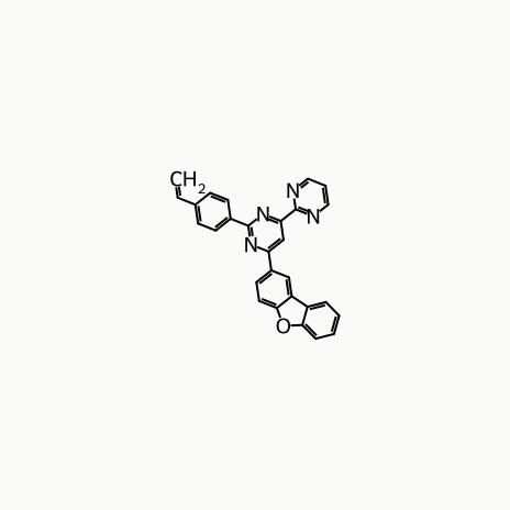 C=Cc1ccc(-c2nc(-c3ccc4oc5ccccc5c4c3)cc(-c3ncccn3)n2)cc1